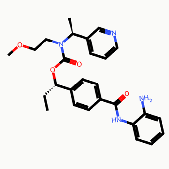 CC[C@H](OC(=O)N(CCOC)[C@@H](C)c1cccnc1)c1ccc(C(=O)Nc2ccccc2N)cc1